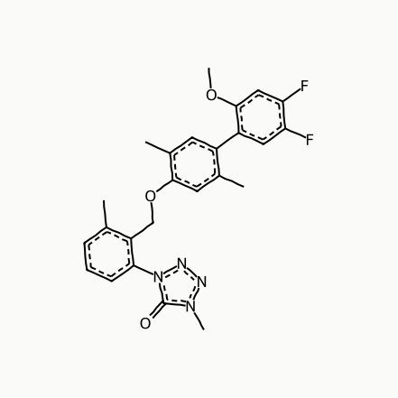 COc1cc(F)c(F)cc1-c1cc(C)c(OCc2c(C)cccc2-n2nnn(C)c2=O)cc1C